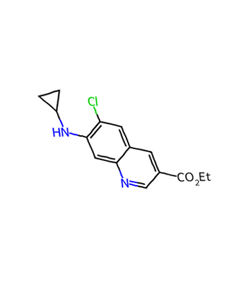 CCOC(=O)c1cnc2cc(NC3CC3)c(Cl)cc2c1